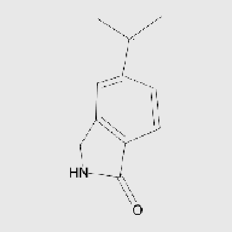 C[C](C)c1ccc2c(c1)CNC2=O